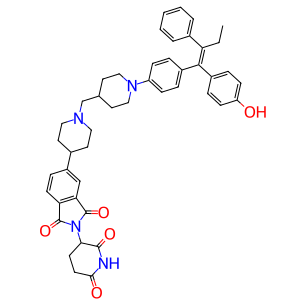 CCC(=C(c1ccc(O)cc1)c1ccc(N2CCC(CN3CCC(c4ccc5c(c4)C(=O)N(C4CCC(=O)NC4=O)C5=O)CC3)CC2)cc1)c1ccccc1